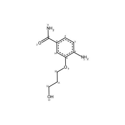 NC(=O)c1ccc(N)c(OCCCO)c1